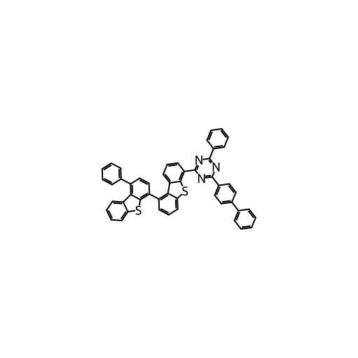 c1ccc(-c2ccc(-c3nc(-c4ccccc4)nc(-c4cccc5c4sc4cccc(-c6ccc(-c7ccccc7)c7c6sc6ccccc67)c45)n3)cc2)cc1